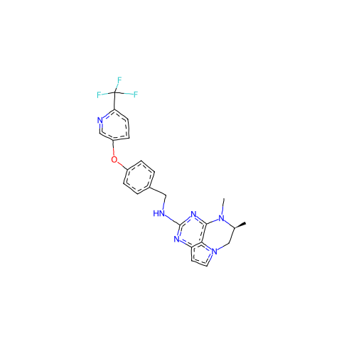 C[C@H]1Cn2ccc3nc(NCc4ccc(Oc5ccc(C(F)(F)F)nc5)cc4)nc(c32)N1C